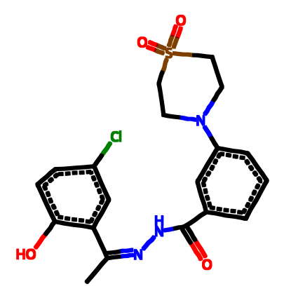 CC(=NNC(=O)c1cccc(N2CCS(=O)(=O)CC2)c1)c1cc(Cl)ccc1O